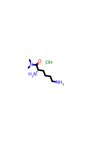 CN(C)C(=O)[C@@H](N)CCCCN.Cl